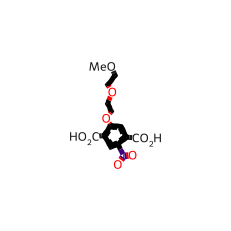 COCCOCCOc1cc(C(=O)O)c(I(=O)=O)cc1C(=O)O